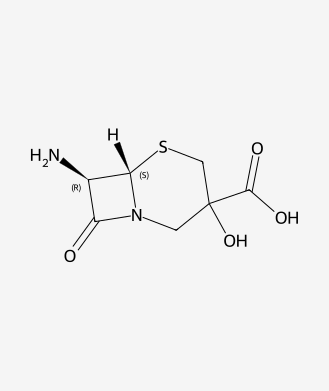 N[C@@H]1C(=O)N2CC(O)(C(=O)O)CS[C@@H]12